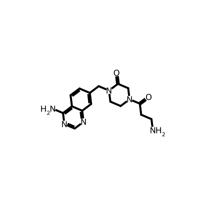 NCCC(=O)N1CCN(Cc2ccc3c(N)ncnc3c2)C(=O)C1